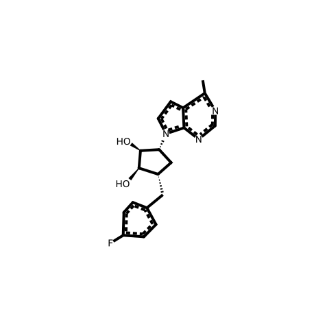 Cc1ncnc2c1ccn2[C@@H]1C[C@H](Cc2ccc(F)cc2)[C@@H](O)[C@H]1O